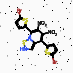 O=[N+]([O-])C1=C(c2ccc(Br)s2)C2=CNSN2C(c2ccc(Br)s2)=C1[N+](=O)[O-]